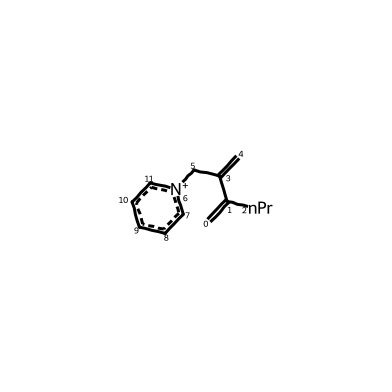 C=C(CCC)C(=C)C[n+]1ccccc1